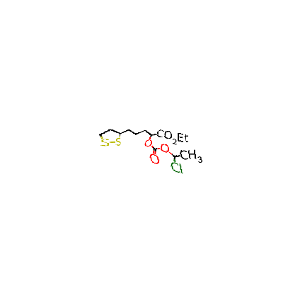 CCOC(=O)C(CCC[C@@H]1CCSS1)OC(=O)OC(C)Cl